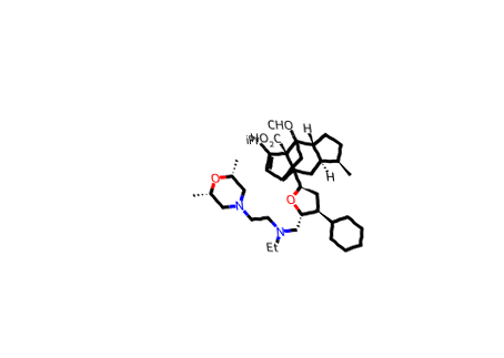 CCN(CCN1C[C@@H](C)O[C@@H](C)C1)C[C@@H]1O[C@@H](C23C[C@@H]4[C@H](C)CC[C@H]4C4(C=O)CC2C=C(C(C)C)[C@]43C(=O)O)C[C@H]1C1CCCCC1